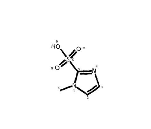 Cn1ccnc1S(=O)(=O)O